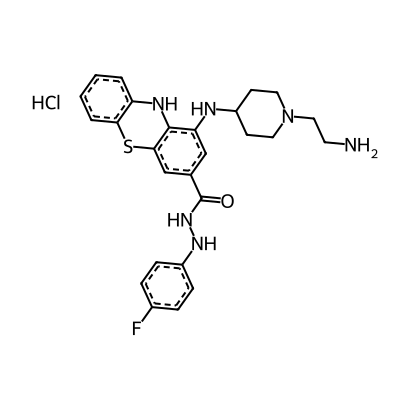 Cl.NCCN1CCC(Nc2cc(C(=O)NNc3ccc(F)cc3)cc3c2Nc2ccccc2S3)CC1